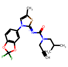 C#CCN(CC(C)C)C(=O)/N=c1\sc(C)cn1-c1ccc2c(c1)OC(F)(F)O2